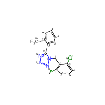 Fc1cccc(Cl)c1Cn1nnnc1-c1ccccc1C(F)(F)F